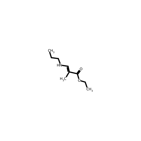 CCCN/C=C(\C)C(=O)OCC